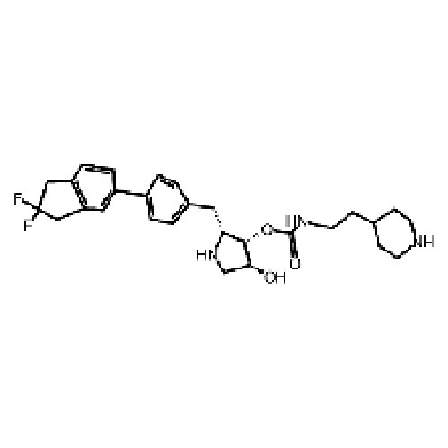 O=C(NCCC1CCNCC1)O[C@@H]1[C@@H](O)CN[C@@H]1Cc1ccc(-c2ccc3c(c2)CC(F)(F)C3)cc1